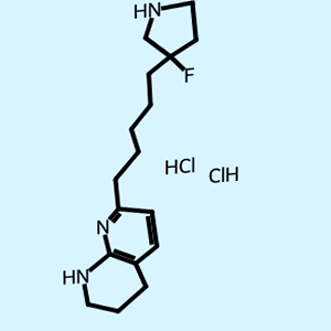 Cl.Cl.FC1(CCCCCc2ccc3c(n2)NCCC3)CCNC1